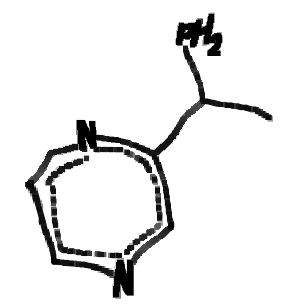 CC(P)c1cnccn1